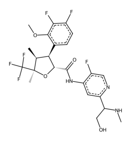 CNC(CO)c1cc(NC(=O)[C@@H]2O[C@@](C)(C(F)(F)F)[C@@H](C)[C@H]2c2ccc(F)c(F)c2OC)c(F)cn1